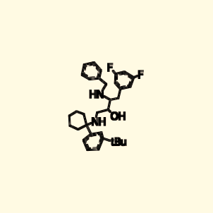 CC(C)(C)c1cccc(C2(NCC(O)C(Cc3cc(F)cc(F)c3)NCc3ccccc3)CCCCC2)c1